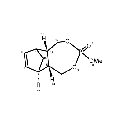 COP1(=O)OC[C@@H]2[C@H]3C=CC(C3)[C@@H]2CO1